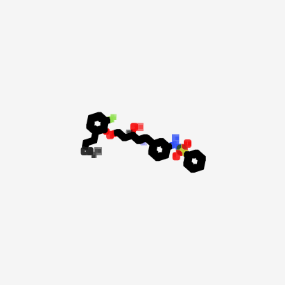 O=C(O)CCc1cccc(F)c1OCC[C@@H](O)/C=C/c1cccc(NS(=O)(=O)c2ccccc2)c1